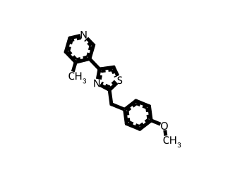 COc1ccc(Cc2nc(-c3cnccc3C)cs2)cc1